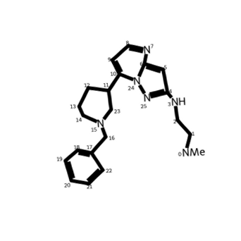 CNCCNc1cc2nccc(C3CCCN(Cc4ccccc4)C3)n2n1